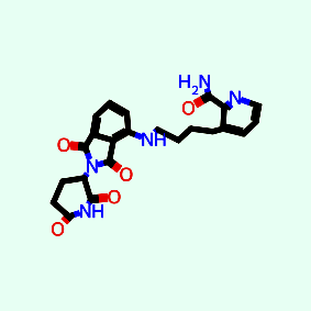 NC(=O)c1ncccc1CCCCNc1cccc2c1C(=O)N(C1CCC(=O)NC1=O)C2=O